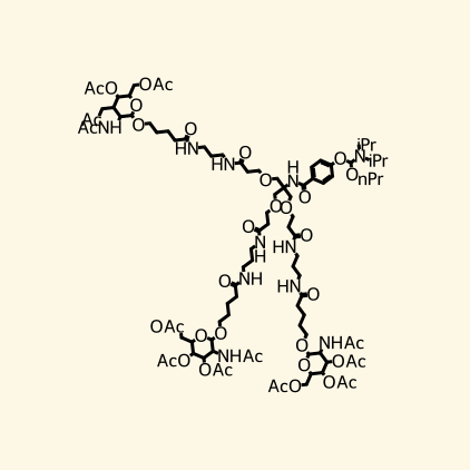 CCCOC(Oc1ccc(C(=O)NC(COCCC(=O)NCCCNC(=O)CCCCOC2OC(COC(C)=O)C(OC(C)=O)C(CC(C)=O)C2NC(C)=O)(COCCC(=O)NCCCNC(=O)CCCCOC2OC(COC(C)=O)C(OC(C)=O)C(OC(C)=O)C2NC(C)=O)COCCC(=O)NCCCNC(=O)CCCCOC2OC(COC(C)=O)C(OC(C)=O)C(OC(C)=O)C2NC(C)=O)cc1)N(C(C)C)C(C)C